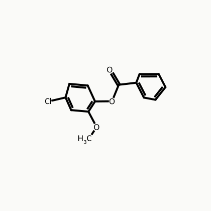 COc1cc(Cl)ccc1OC(=O)c1ccccc1